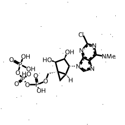 CNc1nc(Cl)nc2c1ncn2[C@H]1[C@H](O)[C@H](O)[C@]2(COP(=O)(O)OP(=O)(O)OP(=O)(O)O)C[C@H]12